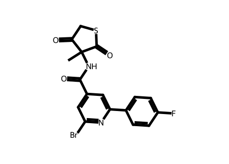 CC1(NC(=O)c2cc(Br)nc(-c3ccc(F)cc3)c2)C(=O)CSC1=O